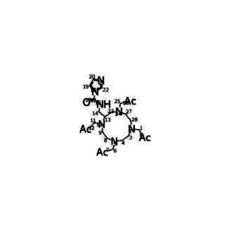 CC(=O)CN1CCN(CC(C)=O)CCN(CC(C)=O)C(CNC(=O)n2ccnc2)CN(CC(C)=O)CC1